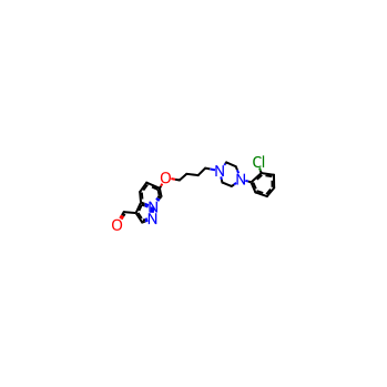 O=Cc1cnn2cc(OCCCCN3CCN(c4ccccc4Cl)CC3)ccc12